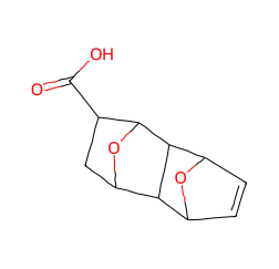 O=C(O)C1CC2OC1C1C3C=CC(O3)C21